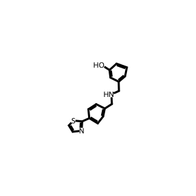 Oc1cccc(CNCc2ccc(-c3nccs3)cc2)c1